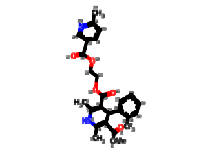 COC(=O)C1=C(C)NC(C)=C(C(=O)OCCOC(=O)c2ccc(C)nc2)C1c1ccccc1C(F)(F)F